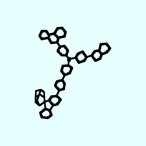 c1ccc2c(c1)-c1ccc(-c3ccc(-c4ccc(N(c5ccc(-c6ccc7ccccc7c6)cc5)c5ccc(-c6cc7ccccc7c7ccccc67)cc5)cc4)cc3)cc1C21C2CC3CC(C2)CC1C3